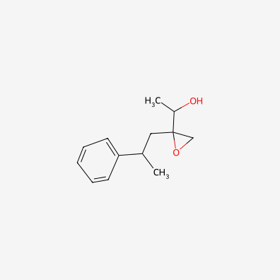 CC(CC1(C(C)O)CO1)c1ccccc1